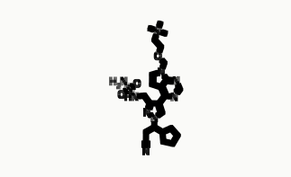 C[Si](C)(C)CCOCn1ccc2c(-c3cn(C(CC#N)C4CCCC4)nc3CNS(N)(=O)=O)ncnc21